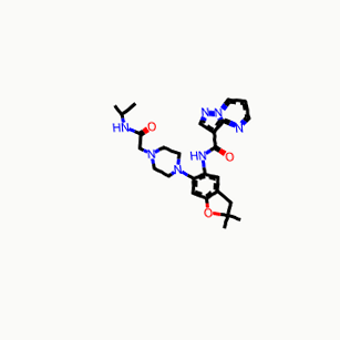 CC(C)NC(=O)CN1CCN(c2cc3c(cc2NC(=O)c2cnn4cccnc24)CC(C)(C)O3)CC1